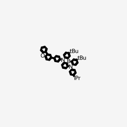 CC(C)c1ccc(N2c3ccc(C(C)(C)C)cc3B3c4cc(C(C)(C)C)ccc4N(c4ccc(-c5ccc6oc7ccccc7c6c5)cc4)c4cccc2c43)cc1